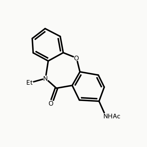 CCN1C(=O)c2cc(NC(C)=O)ccc2Oc2ccccc21